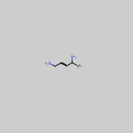 CCCC(N)/C=C/CN